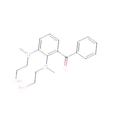 CN(CCO)c1cccc(C(=O)c2ccccc2)c1N(C)CCO